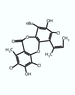 C/C=C(/C)c1c(Cl)c(O)c(CCCC)c2c1Oc1c(Cl)c(O)c(Cl)c(C)c1C(=O)O2